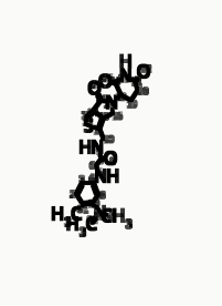 Cc1ccc(NCC(=O)NCc2scc3c2CN(C2CCC(=O)NC2=O)C3=O)cc1N(C)C